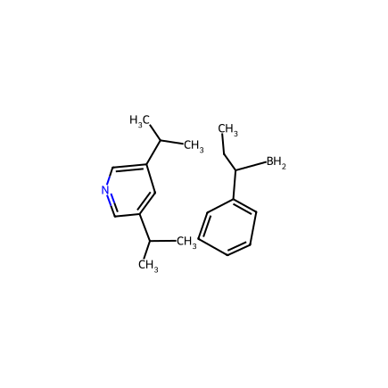 BC(CC)c1ccccc1.CC(C)c1cncc(C(C)C)c1